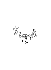 C=C(C)C(=O)OC12CC3CC(OC(=O)CC(F)(F)CC(F)(F)C(F)F)(C1)CC(OC(=O)C(F)(F)CC(F)(F)CC(F)(F)F)(C3)C2